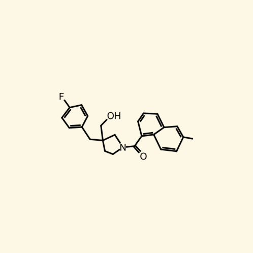 Cc1ccc2c(C(=O)N3CCC(CO)(Cc4ccc(F)cc4)C3)cccc2c1